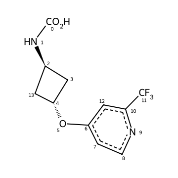 O=C(O)N[C@H]1C[C@H](Oc2ccnc(C(F)(F)F)c2)C1